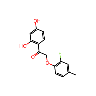 Cc1ccc(OCC(=O)c2ccc(O)cc2O)c(F)c1